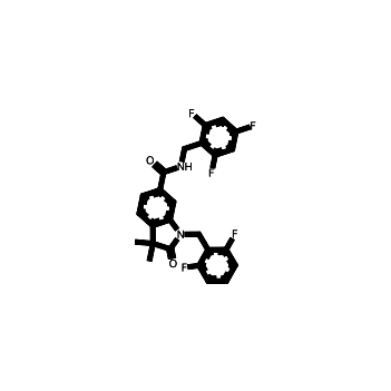 CC1(C)C(=O)N(Cc2c(F)cccc2F)c2cc(C(=O)NCc3c(F)cc(F)cc3F)ccc21